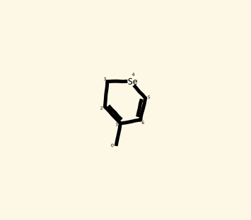 CC1=CC[Se]C=C1